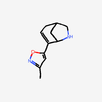 Cc1cc(C2=CCC3CNC2C3)on1